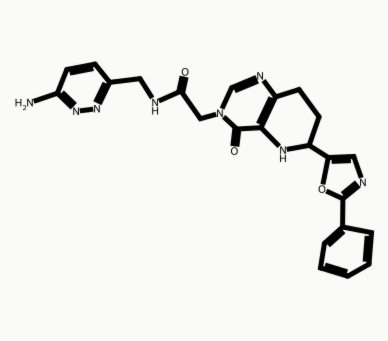 Nc1ccc(CNC(=O)Cn2cnc3c(c2=O)NC(c2cnc(-c4ccccc4)o2)CC3)nn1